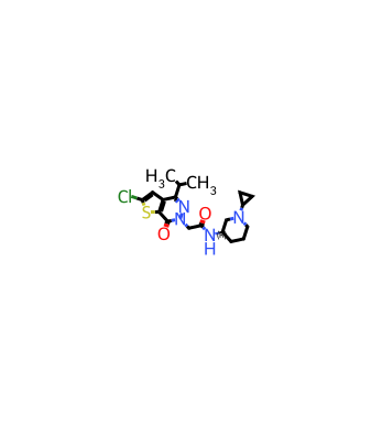 CC(C)c1nn(CC(=O)N[C@@H]2CCCN(C3CC3)C2)c(=O)c2sc(Cl)cc12